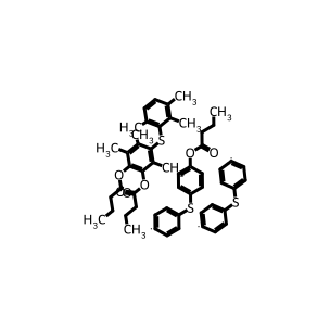 CCCC(=O)Oc1c(C)c(C)c(Sc2c(C)ccc(C)c2C)c(C)c1OC(=O)CCC.CCCC(=O)Oc1ccc(Sc2cc[c]cc2)cc1.[c]1ccc(Sc2cc[c]cc2)cc1